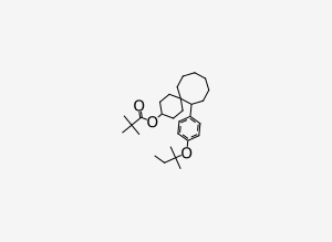 CCC(C)(C)Oc1ccc(C2CCCCCCC23CCC(OC(=O)C(C)(C)C)CC3)cc1